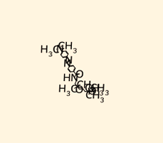 COC(C)(C)CCOC(C)(C)CCNC(=O)c1ccc(N=Nc2ccc(N(C)C)cc2)cc1